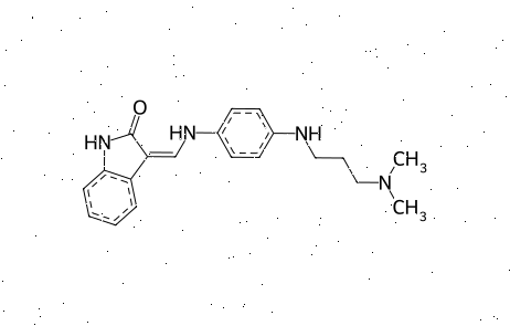 CN(C)CCCNc1ccc(NC=C2C(=O)Nc3ccccc32)cc1